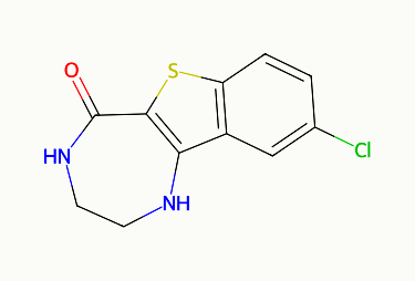 O=C1NCCNc2c1sc1ccc(Cl)cc21